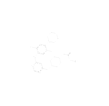 CC(C)OC(=O)ON1CCC(Oc2cc(Nc3cc(F)c(N4CCOCC4)cc3F)ncn2)CC1